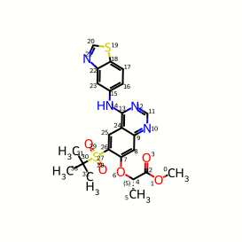 COC(=O)[C@H](C)Oc1cc2ncnc(Nc3ccc4scnc4c3)c2cc1S(=O)(=O)C(C)(C)C